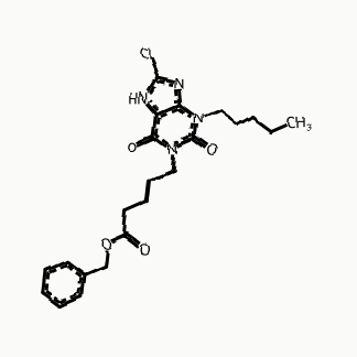 CCCCCn1c(=O)n(CCCCC(=O)OCc2ccccc2)c(=O)c2[nH]c(Cl)nc21